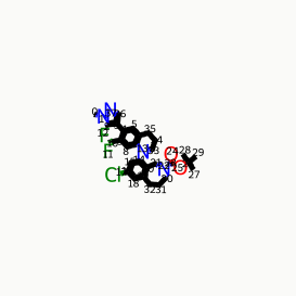 Cn1cc(-c2cc3c(cc2C(F)F)N(c2cc(Cl)cc4c2CN(C(=O)OC(C)(C)C)CCC4)CCC3)cn1